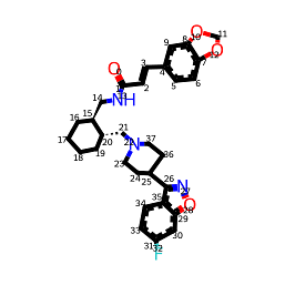 O=C(/C=C/c1ccc2c(c1)OCO2)NC[C@@H]1CCCC[C@H]1CN1CCC(c2noc3cc(F)ccc23)CC1